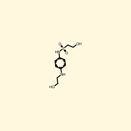 O=S(=O)(CCO)Nc1ccc(NCCO)cc1